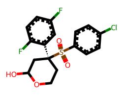 O=S(=O)(c1ccc(Cl)cc1)[C@@]1(c2cc(F)ccc2F)CCOC(O)C1